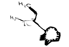 C=C[C@@H](CN)c1ccccc1